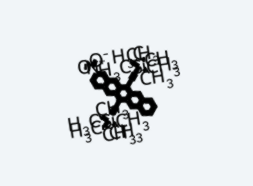 CC(C)[Si](C#Cc1c2cc3ccccc3cc2c(C#C[Si](C(C)C)(C(C)C)C(C)C)c2cc3cc([N+](=O)[O-])ccc3cc12)(C(C)C)C(C)C